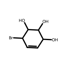 OC1C=[C]C(Br)C(O)C1O